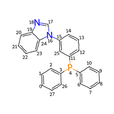 c1ccc(P(c2ccccc2)c2cccc(-n3cnc4ccccc43)c2)cc1